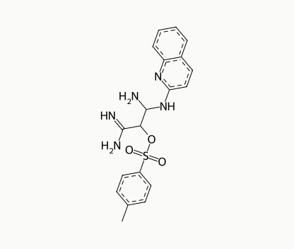 Cc1ccc(S(=O)(=O)OC(C(=N)N)C(N)Nc2ccc3ccccc3n2)cc1